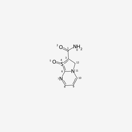 NC(=O)C1=S(=O)=C2N=CC=CN2C1